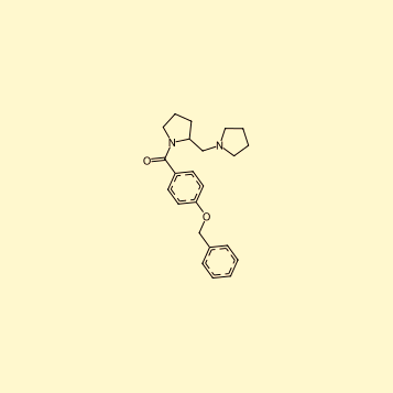 O=C(c1ccc(OCc2ccccc2)cc1)N1CCCC1CN1CCCC1